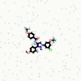 COc1cc(F)c(C2=C(NC(=O)c3ccc(OC(F)F)cc3)CN(c3cc(Cl)cc(OC(F)(F)F)c3)N2C)c(F)c1